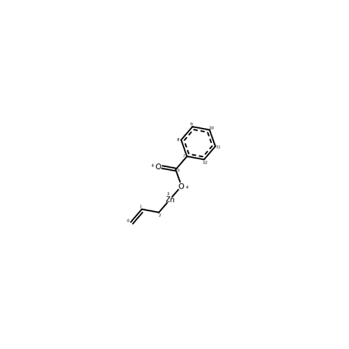 C=C[CH2][Zn][O]C(=O)c1ccccc1